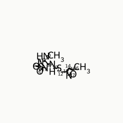 CNC1=NS(=O)(=O)N=C1NCSCc1cc(C)on1